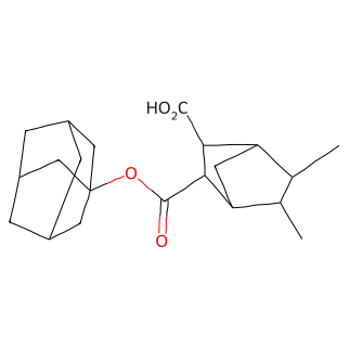 CC1C(C)C2CC1C(C(=O)O)C2C(=O)OC12CC3CC(CC(C3)C1)C2